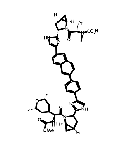 COC(=O)N[C@H](C(=O)N1C(c2nc(-c3ccc(-c4ccc5cc(-c6c[nH]c([C@@H]7C[C@H]8C[C@H]8N7C(=O)[C@H](C(C)C)N(C)C(=O)O)n6)ccc5c4)cc3)c[nH]2)C[C@H]2C[C@H]21)C1C[C@@H](C)O[C@@H](C)C1